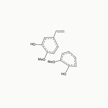 C=Cc1ccc(OC)c(O)c1.COc1ccccc1O